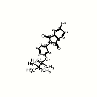 CC(C)(C)[Si](C)(C)Oc1cccc(N2C(=O)c3ccc(F)cc3C2=O)c1